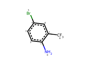 Nc1[c]cc(Br)cc1C(F)(F)F